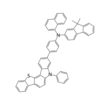 CC1(C)c2ccccc2-c2ccc(N(c3ccc(-c4ccc5c6c7sc8ccccc8c7ccc6n(-c6ccccc6)c5c4)cc3)c3cccc4ccccc34)cc21